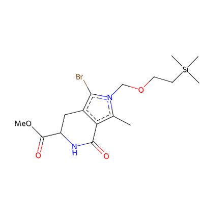 COC(=O)C1Cc2c(c(C)n(COCC[Si](C)(C)C)c2Br)C(=O)N1